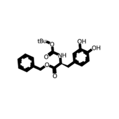 CC(C)(C)OC(=O)N[C@@H](Cc1ccc(O)c(O)c1)C(=O)OCc1ccccc1